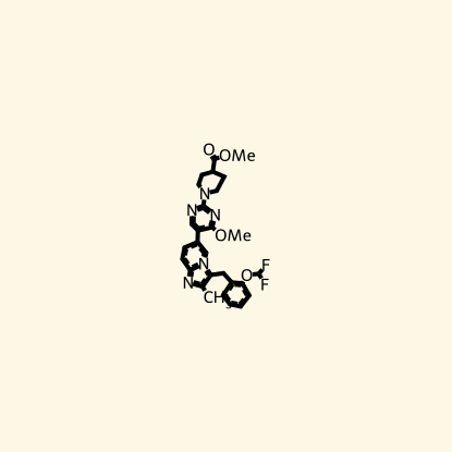 COC(=O)C1CCN(c2ncc(-c3ccc4nc(C)c(Cc5ccccc5OC(F)F)n4c3)c(OC)n2)CC1